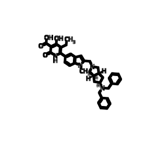 CCc1c(-c2ccc3c(c2)cc(CN2C[C@H]4C[C@@H](N(Cc5ccccc5)Cc5ccccc5)C[C@H]4C2)n3C)[nH]c(=O)c(C(=O)O)c1O